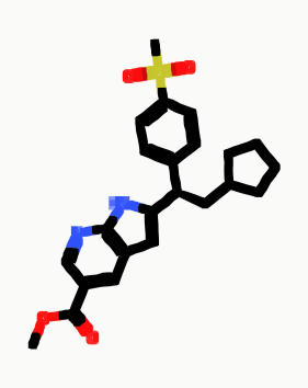 COC(=O)c1cnc2[nH]c([C@H](CC3CCCC3)c3ccc(S(C)(=O)=O)cc3)cc2c1